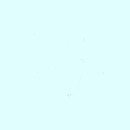 COc1cccc2c1c1oc(C)nc1c1c(C(=O)O)cc3c(c21)OCO3